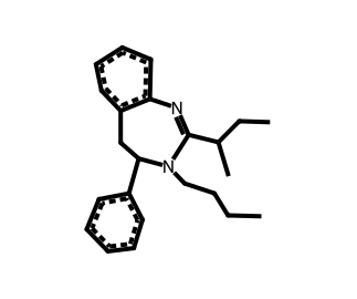 CCCCN1C(C(C)CC)=Nc2ccccc2CC1c1ccccc1